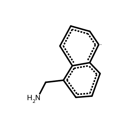 NCc1cccc2[c]cccc12